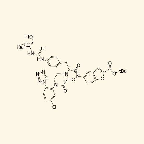 CC[C@H](C)[C@@H](CO)NC(=O)Nc1ccc(CC(C(=O)Nc2ccc3oc(C(=O)OC(C)(C)C)cc3c2)N2CCN(c3cc(Cl)ccc3-n3cnnn3)C(=O)C2=O)cc1